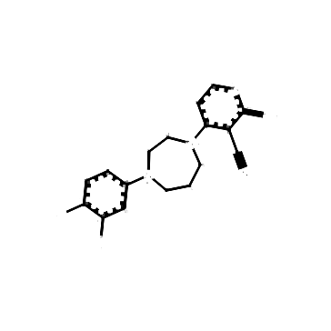 N#Cc1c(N2CCCN(c3ccc(F)c(F)c3)CC2)cc[nH]c1=S